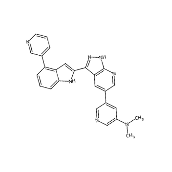 CN(C)c1cncc(-c2cnc3[nH]nc(-c4cc5c(-c6cccnc6)cccc5[nH]4)c3c2)c1